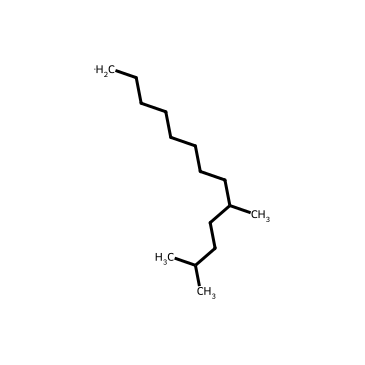 [CH2]CCCCCCCC(C)CCC(C)C